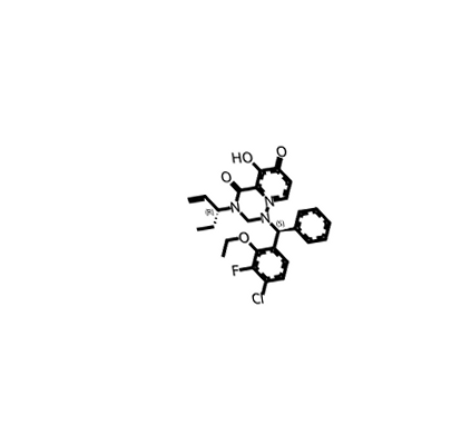 C=C[C@@H](CC)N1CN([C@@H](c2ccccc2)c2ccc(Cl)c(F)c2OCC)n2ccc(=O)c(O)c2C1=O